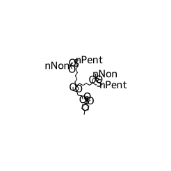 CCCCCCCCCC(=O)OC(CCCCC1(CCCCC(CSCCCCC)OC(=O)CCCCCCCCC)OCC(CCOS(=O)(=O)c2ccc(C)cc2)O1)CSCCCCC